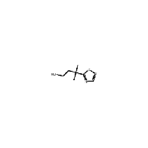 CC(C)(CCN)c1ncno1